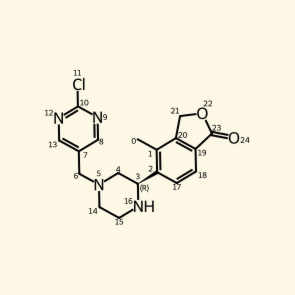 Cc1c([C@@H]2CN(Cc3cnc(Cl)nc3)CCN2)ccc2c1COC2=O